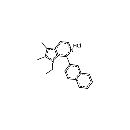 CCn1c(C)c(C)c2ccnc(-c3ccc4ccccc4c3)c21.Cl